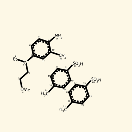 CCN(CCOC)c1ccc(N)c(C)c1.Cc1ccc(S(=O)(=O)O)cc1.Cc1ccc(S(=O)(=O)O)cc1